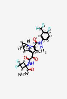 CNC(=O)C1(NC(=O)C(=O)c2c(C)c(C(=O)Nc3ccc(F)c(C(F)F)c3)n3c2C[C@H]2C[C@H]23)CC(F)(F)C1